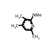 CNc1nc(C)cc(C)c1C